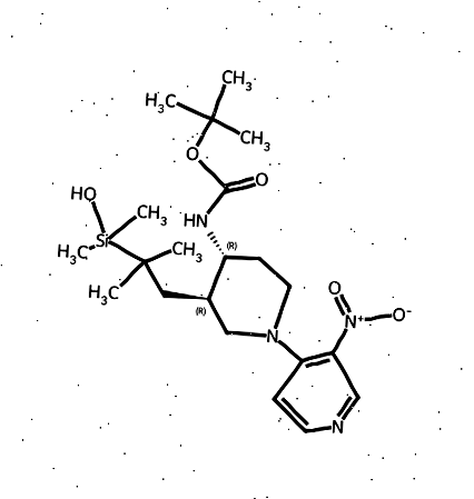 CC(C)(C)OC(=O)N[C@@H]1CCN(c2ccncc2[N+](=O)[O-])C[C@H]1CC(C)(C)[Si](C)(C)O